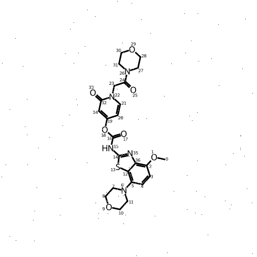 COc1ccc(N2CCOCC2)c2sc(NC(=O)Oc3ccn(CC(=O)N4CCOCC4)c(=O)c3)nc12